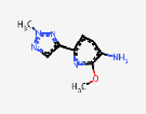 COc1nc(-c2cnn(C)n2)ccc1N